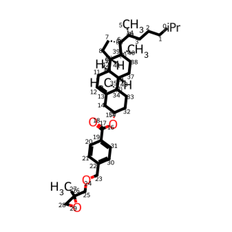 CC(C)CCC[C@@H](C)[C@H]1CC[C@H]2[C@@H]3CC=C4C[C@@H](OC(=O)c5ccc(COCC6(C)CO6)cc5)CC[C@]4(C)[C@H]3CC[C@]12C